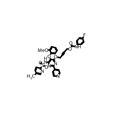 COc1ccccc1Oc1c(NS(=O)(=O)c2ccc(C)cn2)nc(-c2ccncc2)nc1OCC#CCOC(=O)Nc1ccc(F)cc1